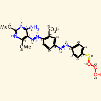 COc1nc(N)c(/N=N/c2ccc(/N=N/c3ccc(SOOO)cc3)cc2S(=O)(=O)O)c(OC)n1